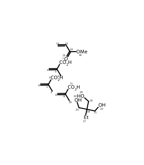 C=C(C)C(=O)O.C=C(C)C(=O)O.C=C(C)C(=O)O.C=CC(=O)OC.CCC(CO)(CO)CO